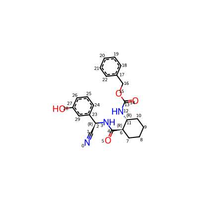 N#C[C@H](NC(=O)[C@@H]1CCCC[C@H]1NC(=O)OCc1ccccc1)c1cccc(O)c1